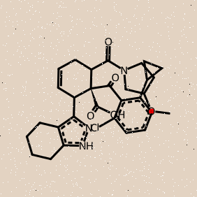 COC1CCN(C(=O)C2CC=CC(c3n[nH]c4c3CCCC4)[C@@]2(C(=O)O)C(=O)c2c(Cl)cccc2C2CC2)C1